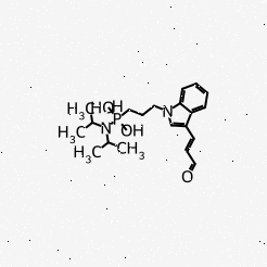 CC(C)N(C(C)C)[PH](O)(O)CCCn1cc(C=CC=O)c2ccccc21